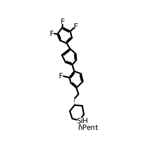 CCCCC[Si@H]1CC[C@H](CCc2ccc(-c3ccc(-c4cc(F)c(F)c(F)c4)cc3)c(F)c2)CC1